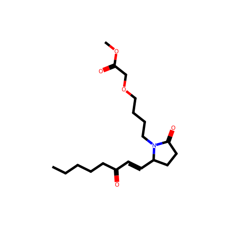 CCCCCC(=O)C=CC1CCC(=O)N1CCCCOCC(=O)OC